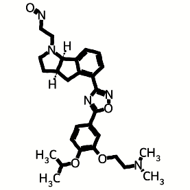 CC(C)Oc1ccc(-c2nc(-c3cccc4c3C[C@H]3CCN(CCN=O)[C@@H]43)no2)cc1OCCN(C)C